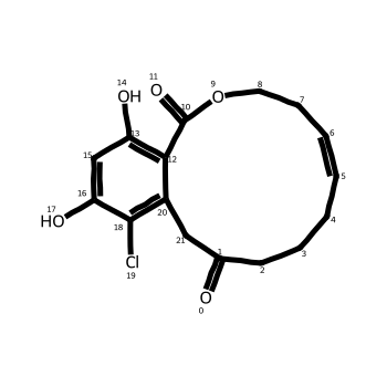 O=C1CCCC=CCCOC(=O)c2c(O)cc(O)c(Cl)c2C1